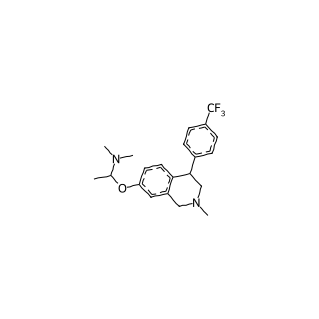 CC(Oc1ccc2c(c1)CN(C)CC2c1ccc(C(F)(F)F)cc1)N(C)C